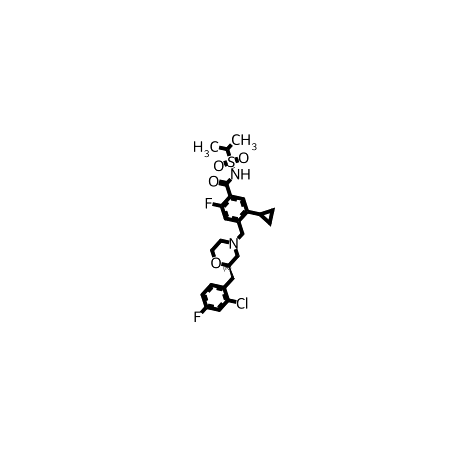 CC(C)S(=O)(=O)NC(=O)c1cc(C2CC2)c(CN2CCO[C@H](Cc3ccc(F)cc3Cl)C2)cc1F